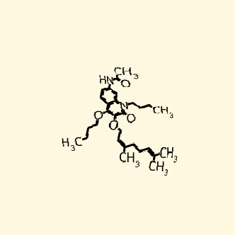 CCCCOc1c(OCC=C(C)CCC=C(C)C)c(=O)n(CCCC)c2cc(NC(C)=O)ccc12